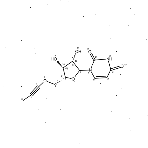 CC#COC[C@H]1OC(n2ccc(=O)[nH]c2=O)[C@@H](O)[C@@H]1O